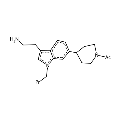 CC(=O)N1CCC(c2ccc3c(CCN)cn(CC(C)C)c3c2)CC1